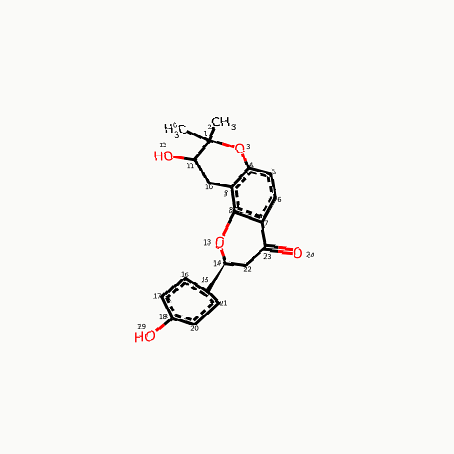 CC1(C)Oc2ccc3c(c2CC1O)O[C@H](c1ccc(O)cc1)CC3=O